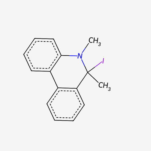 CN1c2ccccc2-c2ccccc2C1(C)I